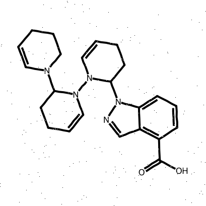 O=C(O)c1cccc2c1cnn2C1CCC=CN1N1C=CCCC1N1C=CCCC1